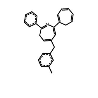 Cc1cccc(CC2=CCC(c3ccccc3)=NC(C3=CC=CC=CC3)=C2)c1